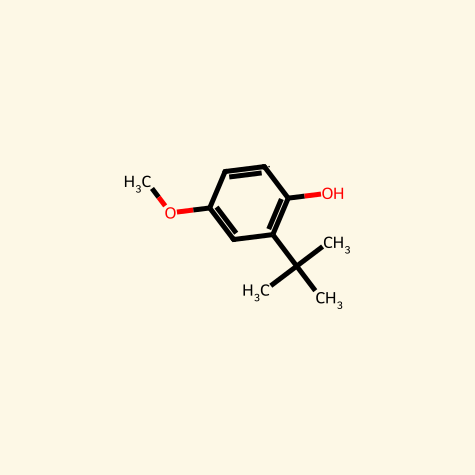 COc1c[c]c(O)c(C(C)(C)C)c1